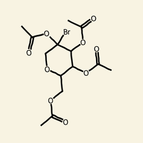 CC(=O)OCC1OCC(Br)(OC(C)=O)C(OC(C)=O)C1OC(C)=O